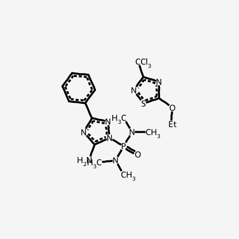 CCOc1nc(C(Cl)(Cl)Cl)ns1.CN(C)P(=O)(N(C)C)n1nc(-c2ccccc2)nc1N